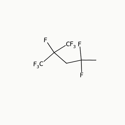 CC(F)(F)CC(F)(C(F)(F)F)C(F)(F)F